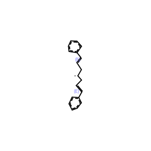 [CH](C/C=C/c1ccccc1)C/C=C/c1ccccc1